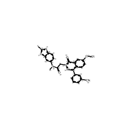 CCOc1ccc2c(-c3cccc(C#N)c3)nn(CC(=O)N(C)c3ccc4nc(C)oc4c3)c(=O)c2c1